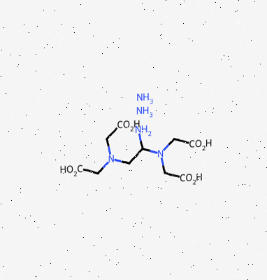 N.N.NC(CN(CC(=O)O)CC(=O)O)N(CC(=O)O)CC(=O)O